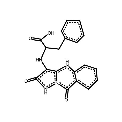 O=C(O)C(Cc1ccccc1)Nc1c(=O)[nH]n2c(=O)c3ccccc3[nH]c12